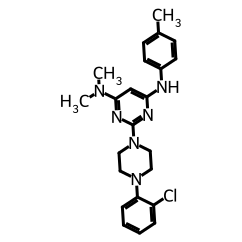 Cc1ccc(Nc2cc(N(C)C)nc(N3CCN(c4ccccc4Cl)CC3)n2)cc1